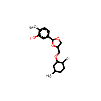 COc1ccc(C2OCC(COC3CC(C)CCC3C(C)C)O2)cc1O